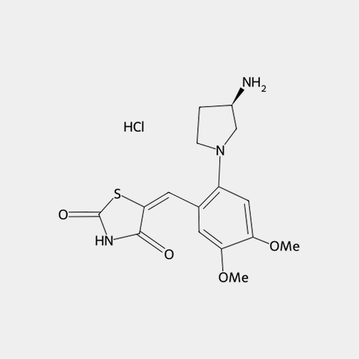 COc1cc(C=C2SC(=O)NC2=O)c(N2CC[C@@H](N)C2)cc1OC.Cl